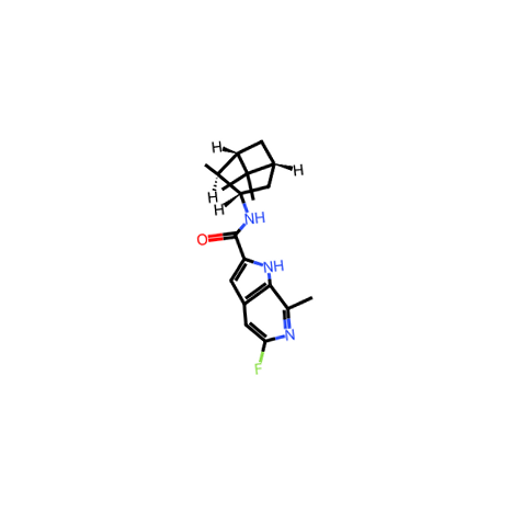 Cc1nc(F)cc2cc(C(=O)N[C@H]3C[C@H]4C[C@@H]([C@@H]3C)C4(C)C)[nH]c12